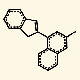 Cc1cc(C2=Cc3ccccc3[CH]2)c2ccccc2c1